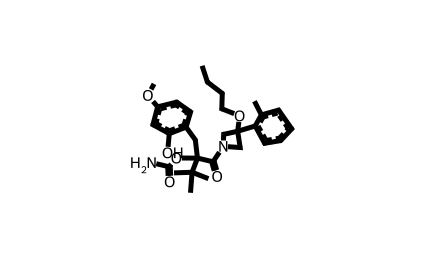 CCCCOC1(c2ccccc2C)CN(C(=O)C(Cc2ccc(OC)cc2O)(OC(N)=O)C(C)(C)C)C1